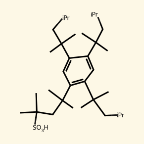 CC(C)CC(C)(C)c1cc(C(C)(C)CC(C)C)c(C(C)(C)CC(C)(C)S(=O)(=O)O)cc1C(C)(C)CC(C)C